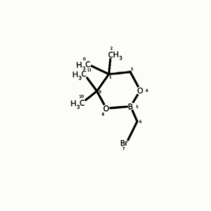 CC1(C)COB(CBr)OC1(C)C